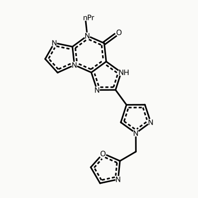 CCCn1c(=O)c2[nH]c(-c3cnn(Cc4ncco4)c3)nc2n2ccnc12